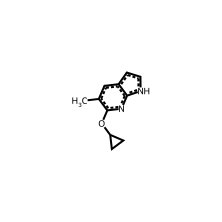 Cc1cc2cc[nH]c2nc1OC1CC1